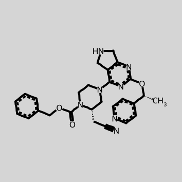 C[C@@H](Oc1nc2c(c(N3CCN(C(=O)OCc4ccccc4)[C@@H](CC#N)C3)n1)CNC2)c1ccncc1